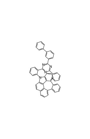 c1ccc(-c2cccc(-c3nc(-c4ccccc4)nc(-c4ccccc4-n4c5cccc6c5c5c7c(cccc7ccc54)-c4ccccc4-6)n3)c2)cc1